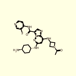 CC(=O)N1CC(Nc2cc(N[C@H]3CC[C@H](N)CC3)nn3c(C(=O)Nc4ccncc4F)cnc23)C1